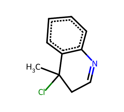 CC1(Cl)CC=Nc2ccccc21